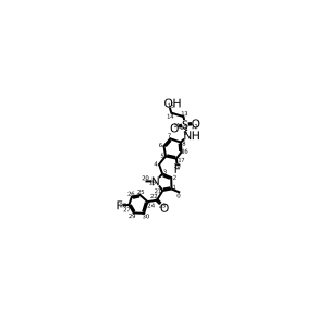 Cc1cc(Cc2ccc(NS(=O)(=O)CCO)cc2F)n(C)c1C(=O)c1ccc(F)cc1